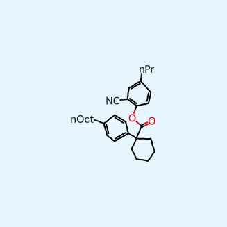 CCCCCCCCc1ccc(C2(C(=O)Oc3ccc(CCC)cc3C#N)CCCCC2)cc1